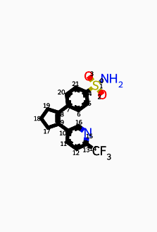 NS(=O)(=O)c1ccc(C2=C(c3ccc(C(F)(F)F)nc3)CCC2)cc1